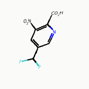 O=C(O)c1ncc(C(F)F)cc1[N+](=O)[O-]